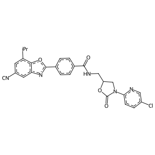 [C-]#[N+]c1cc(C(C)C)c2oc(-c3ccc(C(=O)NCC4CN(c5ccc(Cl)cn5)C(=O)O4)cc3)nc2c1